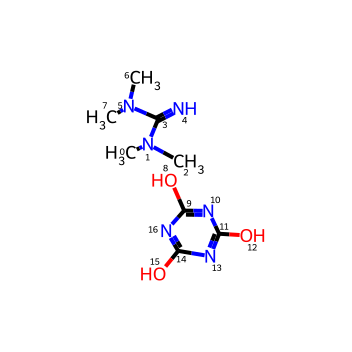 CN(C)C(=N)N(C)C.Oc1nc(O)nc(O)n1